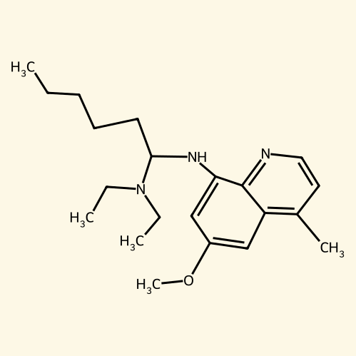 CCCCCC(Nc1cc(OC)cc2c(C)ccnc12)N(CC)CC